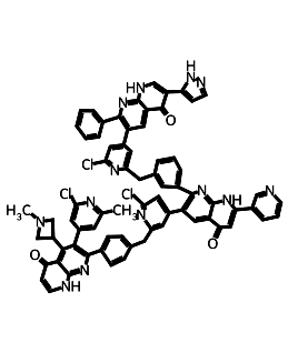 Cc1cc(-c2c(-c3ccc(Cc4cc(-c5cc6c(=O)cc(-c7cccnc7)[nH]c6nc5-c5cccc(Cc6cc(-c7cc8c(=O)c(-c9ccn[nH]9)c[nH]c8nc7-c7ccccc7)cc(Cl)n6)c5)cc(Cl)n4)cc3)nc3[nH]ccc(=O)c3c2C2CN(C)C2)cc(Cl)n1